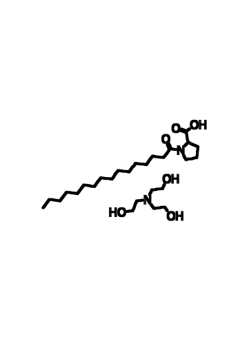 CCCCCCCCCCCCCCCC(=O)N1CCCC1C(=O)O.OCCN(CCO)CCO